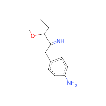 CCC(OC)C(=N)Cc1ccc(N)cc1